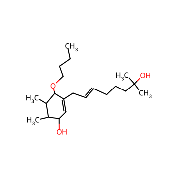 CCCCOC1C(C/C=C/CCCC(C)(C)O)=CC(O)C(C)C1C